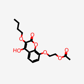 CCCCOc1c(O)c2cccc(OCCOC(C)=O)c2oc1=O